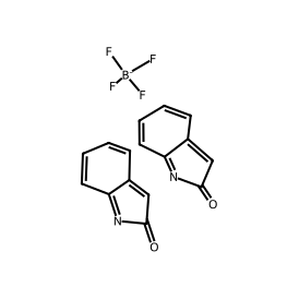 F[B-](F)(F)F.O=C1C=c2ccccc2=N1.O=C1C=c2ccccc2=N1